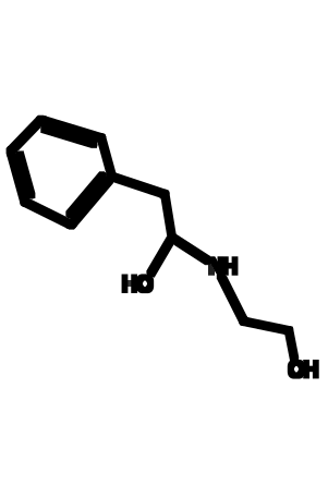 OCCNC(O)Cc1ccccc1